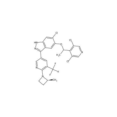 CC(Oc1cc2c(-c3cnc(N4CC[C@@H]4C)c(C(F)(F)F)c3)n[nH]c2cc1Cl)c1c(Cl)cncc1Cl